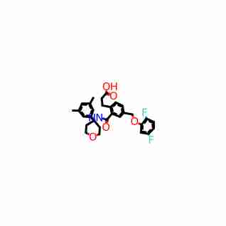 Cc1cc(C)cc(C2(NC(=O)c3cc(COc4cc(F)ccc4F)ccc3CCC(=O)O)CCOCC2)c1